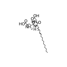 CCCCCCCCCCC=CCSC[C@H](NC(=O)CC[C@H](N)C(=O)O)C(=O)NCC(=O)O